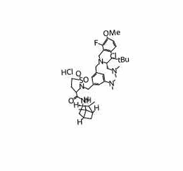 COc1ccc(Cl)c(CN(Cc2cc(CN3C(C(=O)N[C@H]4C[C@H]5C[C@@H]([C@@H]4C)C5(C)C)CCS3(=O)=O)cc(N(C)C)c2)[C@H](CN(C)C)CC(C)(C)C)c1F.Cl